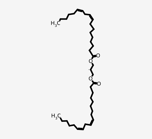 CCCCC/C=C\C/C=C\CCCCCCCC(=O)OC[CH]COC(=O)CCCCCCC/C=C\C/C=C\CCCCC